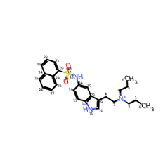 CCCN(CCC)CCc1c[nH]c2ccc(NS(=O)(=O)c3cccc4ccccc34)cc12